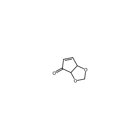 O=C1C=CC2OCOC12